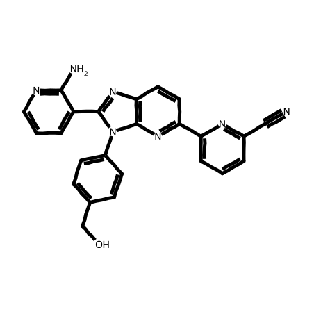 N#Cc1cccc(-c2ccc3nc(-c4cccnc4N)n(-c4ccc(CO)cc4)c3n2)n1